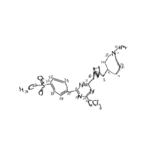 CC(C)N1CCC(CNc2nc(-c3ccc(S(C)(=O)=O)cc3)nc(C(Cl)(Cl)Cl)n2)CC1